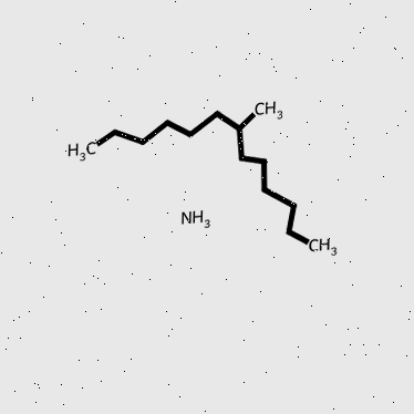 CCCCCCC(C)CCCCCC.N